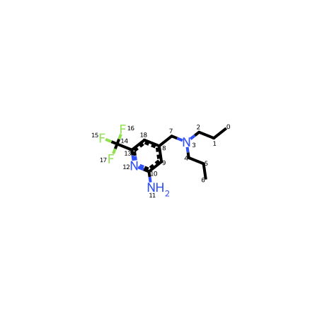 CCCN(CCC)Cc1cc(N)nc(C(F)(F)F)c1